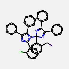 Clc1ccccc1-c1nc(-c2ccccc2)c(-c2ccccc2)n1C1(c2ccccc2CI)N=C(c2ccccc2)C(c2ccccc2)=N1